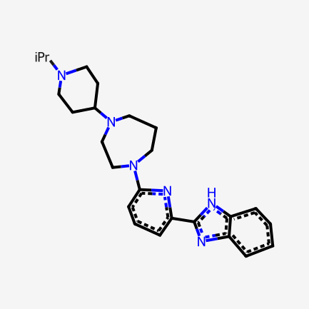 CC(C)N1CCC(N2CCCN(c3cccc(-c4nc5ccccc5[nH]4)n3)CC2)CC1